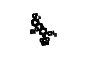 CCOc1ccc(C(F)(F)F)cc1CN1CCN(C(=O)OC(C)(C)C)[C@@H](C)C1